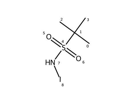 CC(C)(C)S(=O)(=O)NI